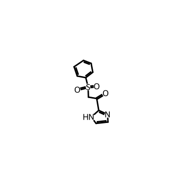 O=C(CS(=O)(=O)c1ccccc1)c1ncc[nH]1